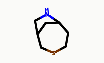 C1CC2CC(CN2)CS1